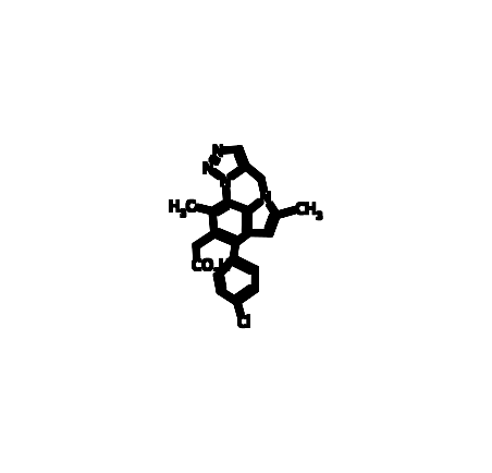 Cc1c(CC(=O)O)c(-c2ccc(Cl)cc2)c2cc(C)n3c2c1-n1nncc1C3